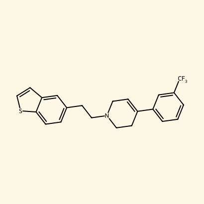 FC(F)(F)c1cccc(C2=CCN(CCc3ccc4sccc4c3)CC2)c1